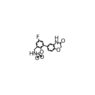 O=C1COc2ccc(-c3cc(F)cc4c3OS(=O)(=O)NC4)cc2N1